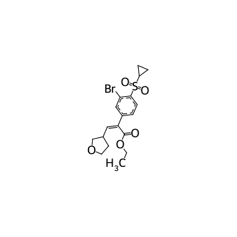 CCOC(=O)C(=CC1CCOC1)c1ccc(S(=O)(=O)C2CC2)c(Br)c1